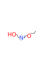 CCCOCC[N+](C)(C)CCO